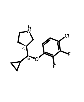 Fc1c(Cl)ccc(O[C@@H](C2CC2)[C@H]2CCNC2)c1F